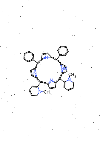 CN1CC=CC=C1c1c2nc(c(C3=CC=CCN3C)c3ccc([nH]3)c(-c3ccccc3)c3nc(c(-c4ccccc4)c4ccc1[nH]4)C=C3)C=C2